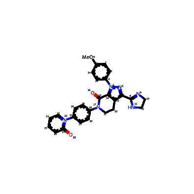 COc1ccc(-n2nc(C3=NCCN3)c3c2C(=O)N(c2ccc(-n4ccccc4=O)cc2)CC3)cc1